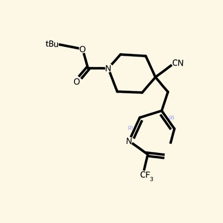 C=C(/N=C\C(=C/C)CC1(C#N)CCN(C(=O)OC(C)(C)C)CC1)C(F)(F)F